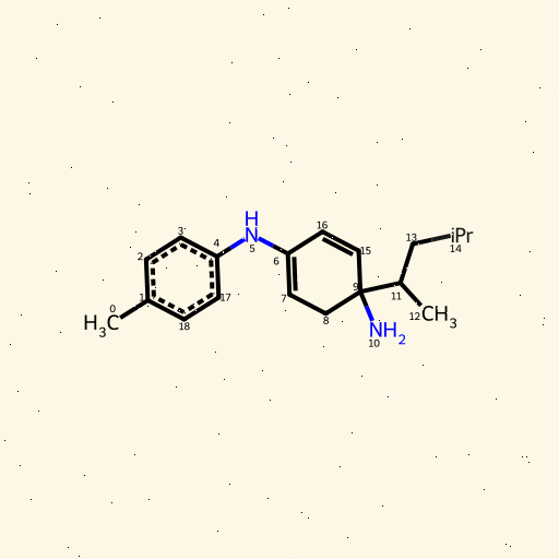 Cc1ccc(NC2=CCC(N)(C(C)CC(C)C)C=C2)cc1